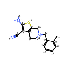 CNc1sc2c(c1C#N)CCN(Cc1ccccc1C)C2